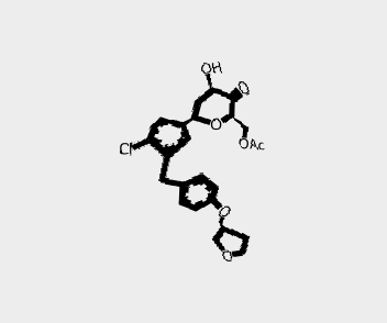 CC(=O)OC[C@H]1O[C@@H](c2ccc(Cl)c(Cc3ccc(O[C@H]4CCOC4)cc3)c2)C[C@@H](O)C1=O